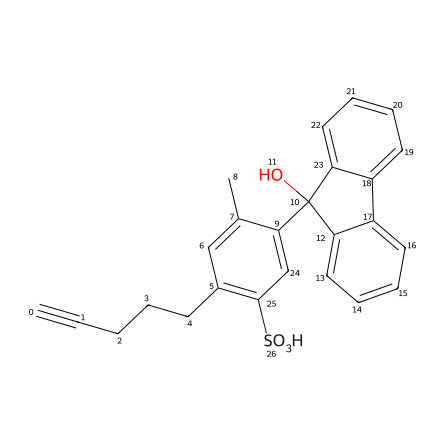 C#CCCCc1cc(C)c(C2(O)c3ccccc3-c3ccccc32)cc1S(=O)(=O)O